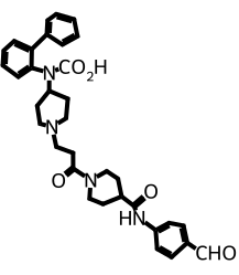 O=Cc1ccc(NC(=O)C2CCN(C(=O)CCN3CCC(N(C(=O)O)c4ccccc4-c4ccccc4)CC3)CC2)cc1